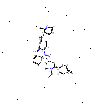 CCN1CCC(N=[n+]2c3c(nc4ccccc42)C=C(Nc2cccnc2C)CC=3)CC1c1ccc(C)cc1